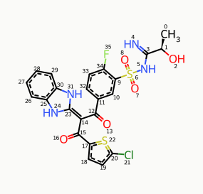 C[C@@H](O)C(=N)NS(=O)(=O)c1cc(C(=O)C(C(=O)c2ccc(Cl)s2)=C2Nc3ccccc3N2)ccc1F